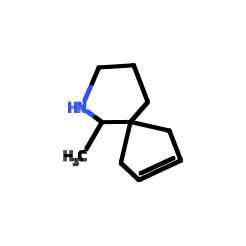 CC1NCCCC12CC=CC2